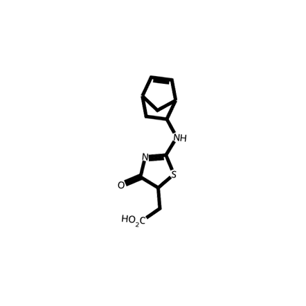 O=C(O)CC1SC(NC2CC3C=CC2C3)=NC1=O